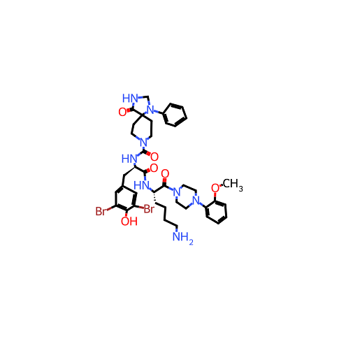 COc1ccccc1N1CCN(C(=O)[C@H](CCCCN)NC(=O)[C@@H](Cc2cc(Br)c(O)c(Br)c2)NC(=O)N2CCC3(CC2)C(=O)NCN3c2ccccc2)CC1